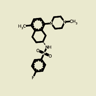 Cc1ccc(N2CCN(C)CC2)c2c1CC[C@@H](NS(=O)(=O)c1ccc(F)cc1)C2